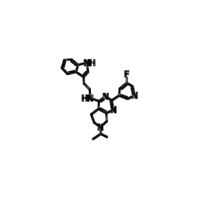 CC(C)N1CCc2c(nc(-c3cncc(F)c3)nc2NCCc2c[nH]c3ccccc23)C1